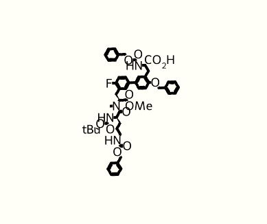 COC(=O)[C@H](Cc1cc(-c2ccc(OCc3ccccc3)c(C[C@H](NC(=O)OCc3ccccc3)C(=O)O)c2)ccc1F)N(C)C(=O)[C@@H](CCCNC(=O)OCc1ccccc1)NC(=O)OC(C)(C)C